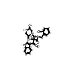 NC(CN1CC(=O)NCC1=O)(C(=O)NCc1ccccc1Cl)C(=C=O)c1c[nH]c2ccccc12